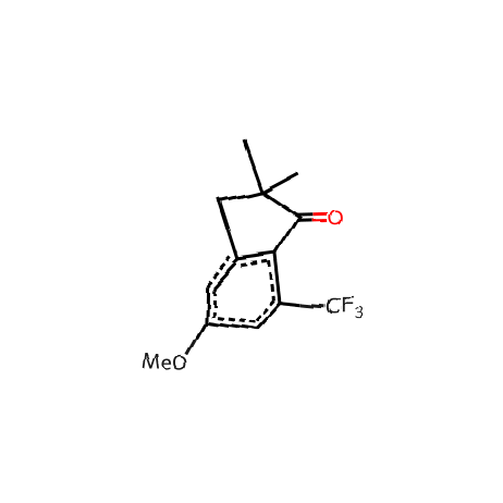 COc1cc2c(c(C(F)(F)F)c1)C(=O)C(C)(C)C2